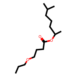 CCCOCCCC(=O)OC(C)CCCC(C)C